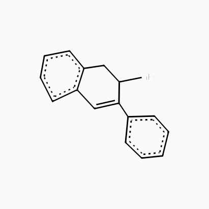 CCCC1Cc2ccccc2C=C1c1ccccc1